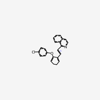 Clc1ccc(OC2=CCCC=C2/C=C/c2nccc3ccccc23)cc1